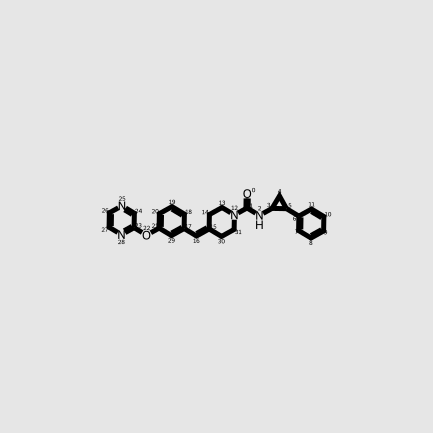 O=C(NC1CC1c1ccccc1)N1CCC(=Cc2cccc(Oc3cnccn3)c2)CC1